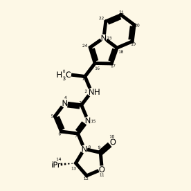 CC(Nc1nccc(N2C(=O)OC[C@@H]2C(C)C)n1)c1cc2ccccn2c1